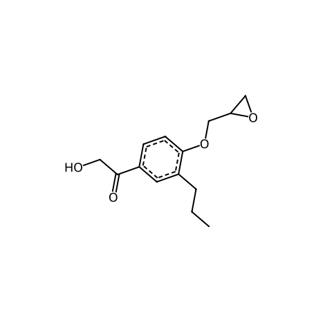 CCCc1cc(C(=O)CO)ccc1OCC1CO1